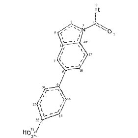 CCC(=O)n1ccc2cc(-c3ccc(C(=O)O)cc3)ccc21